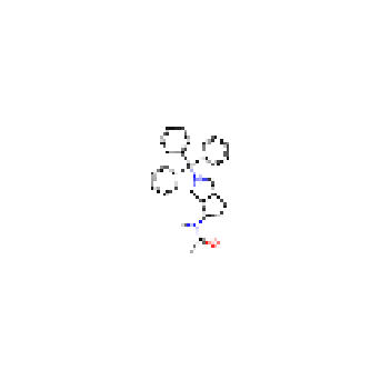 CC(=O)N(C)C1CCC2CN(C(c3ccccc3)(c3ccccc3)c3ccccc3)CC21